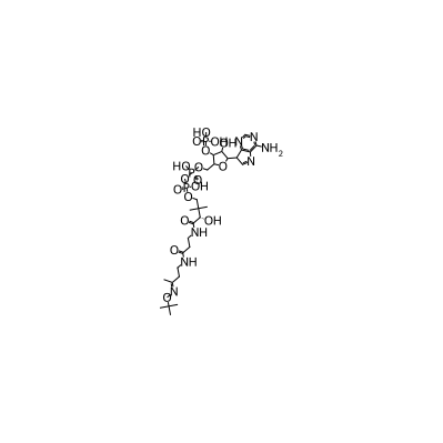 C/C(CCNC(=O)CCNC(=O)[C@@H](O)C(C)(C)COP(=O)(O)OP(=O)(O)OCC1OC(C2C=Nc3c(N)ncnc32)C(O)C1OP(=O)(O)O)=N\OC(C)(C)C